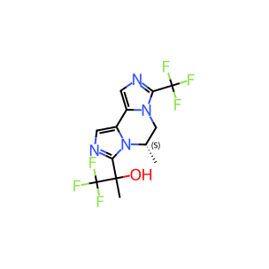 C[C@H]1Cn2c(cnc2C(F)(F)F)-c2cnc(C(C)(O)C(F)(F)F)n21